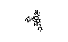 Fc1c(NSN2CCCCC2)cccc1-c1nc(N2CCOCC2)sc1-c1ccnc(Cl)n1